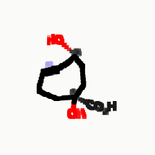 O=C(O)[C@]1(O)CC/C=C/[C@H](O)CC1